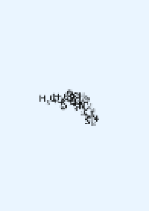 CCOC(=O)C(C)(C[C@H]1CN(c2ccc3ncsc3c2)C(=O)O1)S(C)(=O)=O